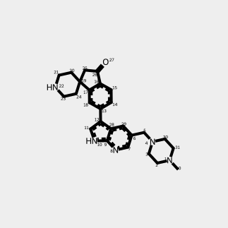 CN1CCN(Cc2cnc3[nH]cc(-c4ccc5c(c4)C4(CCNCC4)CC5=O)c3c2)CC1